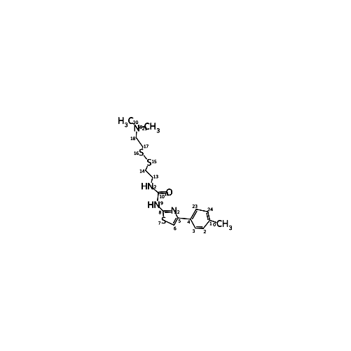 Cc1ccc(-c2csc(NC(=O)NCCSSCCN(C)C)n2)cc1